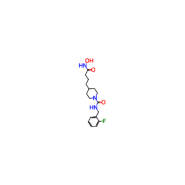 O=C(CCCC1CCN(C(=O)NCc2ccccc2F)CC1)NO